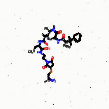 CN[C@H](C(=O)N[C@H](C(=O)N(C)[C@H](/C=C(\C)C(=O)NC(CC(=O)O)C(O)NCCN1C(=O)CC(SC[C@@H](C)N)C1=O)C(C)C)C(C)(C)C)C(C)(C)c1ccccc1